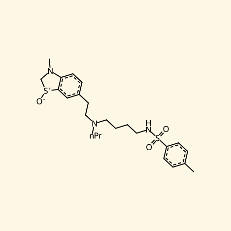 CCCN(CCCCNS(=O)(=O)c1ccc(C)cc1)CCc1ccc2c(c1)[S+]([O-])CN2C